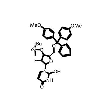 COc1ccc(C(OC[C@H]2O[C@@H](N3C=CC(=O)NC3O)[C@@H](F)C2O[Si](C)(C)C(C)(C)C)(c2ccccc2)c2ccc(OC)cc2)cc1